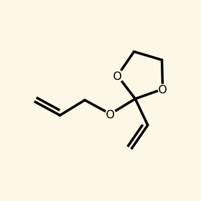 C=CCOC1(C=C)OCCO1